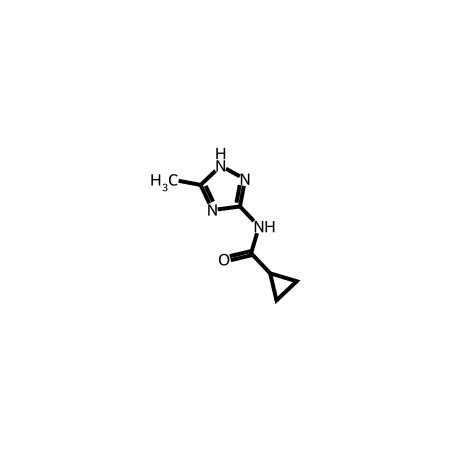 Cc1nc(NC(=O)C2CC2)n[nH]1